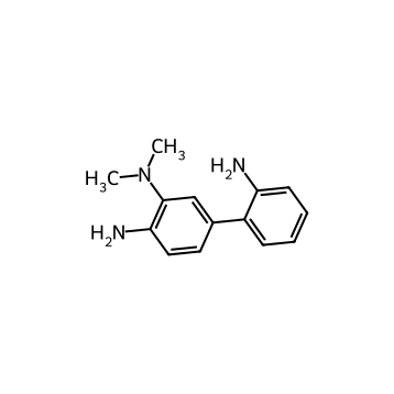 CN(C)c1cc(-c2ccccc2N)ccc1N